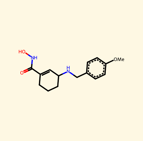 COc1ccc(CNC2C=C(C(=O)NO)CCC2)cc1